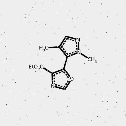 CCOC(=O)c1ncoc1-c1c(C)cnn1C